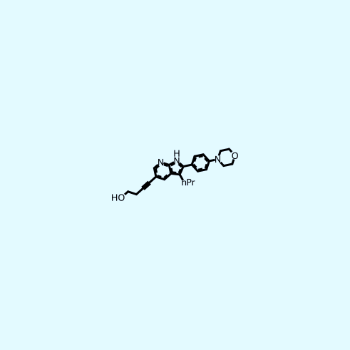 CCCc1c(-c2ccc(N3CCOCC3)cc2)[nH]c2ncc(C#CCCO)cc12